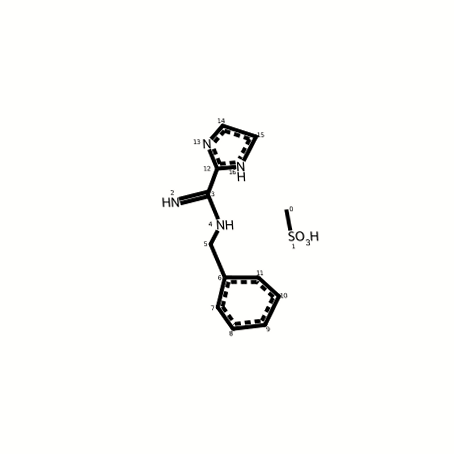 CS(=O)(=O)O.N=C(NCc1ccccc1)c1ncc[nH]1